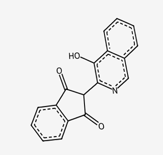 O=C1c2ccccc2C(=O)C1c1ncc2ccccc2c1O